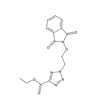 CCOC(=O)c1nnn(CCON2C(=O)c3ccccc3C2=O)n1